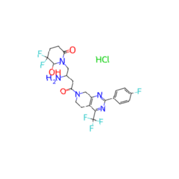 Cl.NC(CC(=O)N1CCc2c(nc(-c3ccc(F)cc3)nc2C(F)(F)F)C1)CN1C(=O)CCC(F)(F)C1O